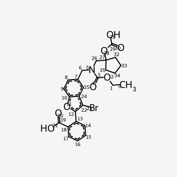 CCOC(=O)N(Cc1ccc2oc(-c3ccccc3C(=O)O)c(Br)c2c1)CC1(OC(=O)O)CCCC1